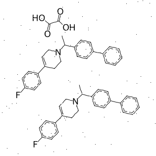 CC(c1ccc(-c2ccccc2)cc1)N1CC=C(c2ccc(F)cc2)CC1.CC(c1ccc(-c2ccccc2)cc1)N1CC=C(c2ccc(F)cc2)CC1.O=C(O)C(=O)O